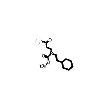 CC(C)(C)OC(=O)N(CCC(N)=O)CCC1CCCCC1